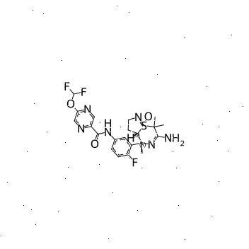 CC1(C)C(N)=N[C@](C)(c2cc(NC(=O)c3cnc(OC(F)F)cn3)ccc2F)[C@@H]2CCN=S21=O